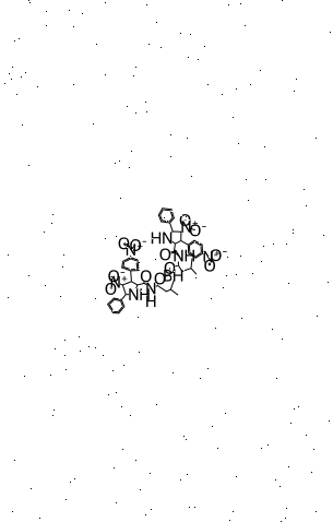 CC(C)CC(NC(=O)C1NC(c2ccccc2)C([N+](=O)[O-])C1c1ccc([N+](=O)[O-])cc1)OBOC(CC(C)C)NC(=O)C1NC(c2ccccc2)C([N+](=O)[O-])C1c1ccc([N+](=O)[O-])cc1